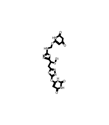 CCSC(Cc1nnc(Oc2cc(=O)[nH]c(=O)[nH]2)s1)c1nnc(NCOC2=CC(=O)CC(=O)N2)s1